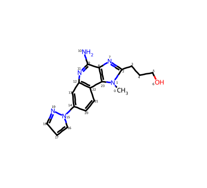 Cn1c(CCCO)nc2c(N)nc3cc(-n4cccn4)ccc3c21